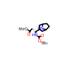 COC(=O)C[C@@H](NC(=O)OC(C)(C)C)C1CC2CCC(C1)N2